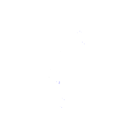 CC(C)(C(=O)Nc1nncs1)C(c1ccccc1)c1ccc2c(cnn2CCO)c1